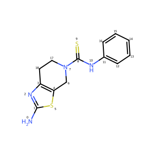 Nc1nc2c(s1)CN(C(=S)Nc1ccccc1)CC2